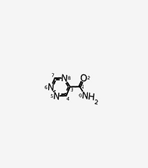 NC(=O)c1cnncn1